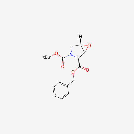 CC(C)(C)OC(=O)N1C[C@@H]2OC2[C@H]1C(=O)OCc1ccccc1